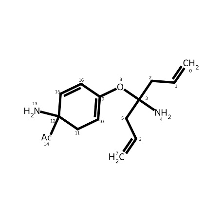 C=CCC(N)(CC=C)OC1=CCC(N)(C(C)=O)C=C1